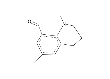 Cc1cc(C=O)c2c(c1)CCCN2C